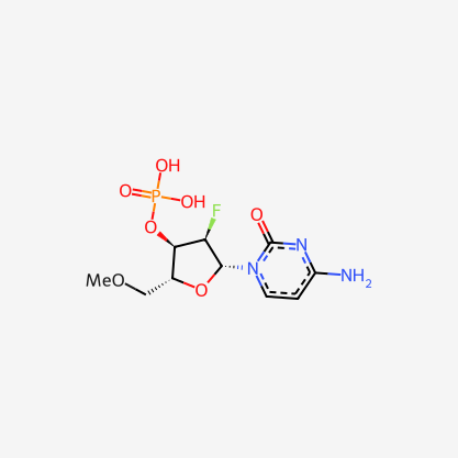 COC[C@H]1O[C@@H](n2ccc(N)nc2=O)[C@H](F)[C@@H]1OP(=O)(O)O